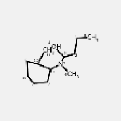 CCCC(O)N(C)C1CCCCC1C